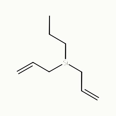 C=CC[Si](CC=C)CCC